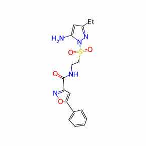 CCc1cc(N)n(S(=O)(=O)CCNC(=O)c2cc(-c3ccccc3)on2)n1